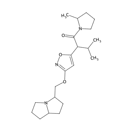 CC(C)C(C(=O)N1CCCC1C)c1cc(OCC2CCC3CCCN32)no1